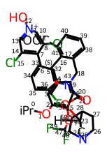 CC(C)Oc1cc([C@H](Cc2c(Cl)c[n+](O)cc2Cl)c2c(CN(C(=O)O[C@H]3CN4CCC3CC4)c3ccccc3F)cccc2C(=O)[O-])ccc1OC(F)F